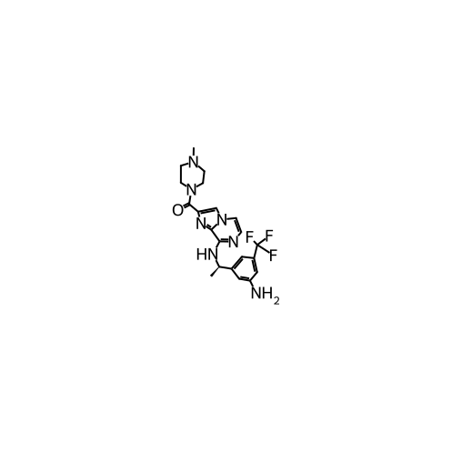 C[C@@H](Nc1nccn2cc(C(=O)N3CCN(C)CC3)nc12)c1cc(N)cc(C(F)(F)F)c1